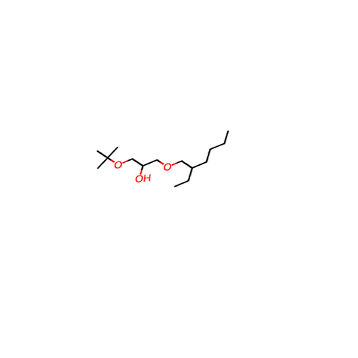 CCCCC(CC)COCC(O)COC(C)(C)C